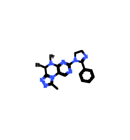 CCC1c2nnc(C)n2-c2cnc(N3CCN=C3c3ccccc3)nc2N1C(C)C